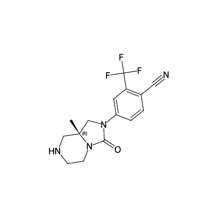 C[C@]12CNCCN1C(=O)N(c1ccc(C#N)c(C(F)(F)F)c1)C2